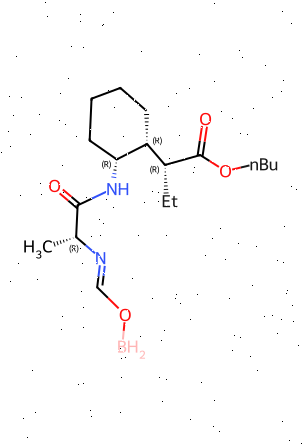 BOC=N[C@H](C)C(=O)N[C@@H]1CCCC[C@@H]1[C@@H](CC)C(=O)OCCCC